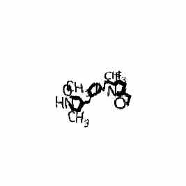 COC1=CC(C[C@H]2CCN([C@H](C)c3nc4c(cc3F)CCO4)C2)=CC(C)N1